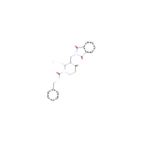 CC1C(CN2C(=O)c3ccccc3C2=O)C(=O)CCN1C(=O)OCc1ccccc1